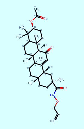 C=CCONC(=O)[C@@]1(C)CC[C@]2(C)CC[C@]3(C)C(=CC(=O)[C@@H]4[C@@]5(C)CC[C@H](OC(C)=O)C(C)(C)C5CC[C@]43C)[C@@H]2C1